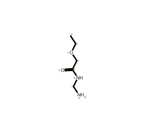 CCOCC(=O)NCN